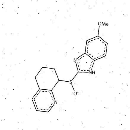 COc1ccc2[nH]c([S+]([O-])C3CCCc4cccnc43)nc2c1